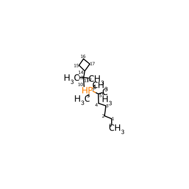 CCCCCC(C)[PH](C)(C)CC(C)(C)C1CCC1